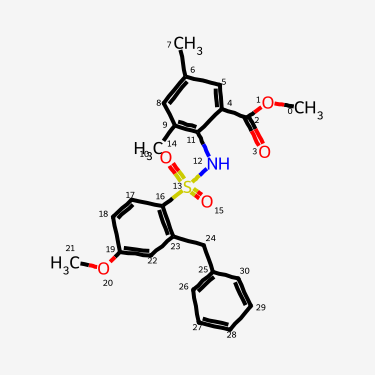 COC(=O)c1cc(C)cc(C)c1NS(=O)(=O)c1ccc(OC)cc1Cc1ccccc1